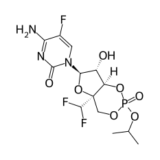 CC(C)OP1(=O)OC[C@@]2(C(F)F)O[C@@H](n3cc(F)c(N)nc3=O)[C@H](O)[C@H]2O1